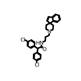 O=C(NCCCN1CCC2(C=Cc3ccccc32)CC1)C(c1ccc(Cl)cc1)c1ccc(Cl)cc1